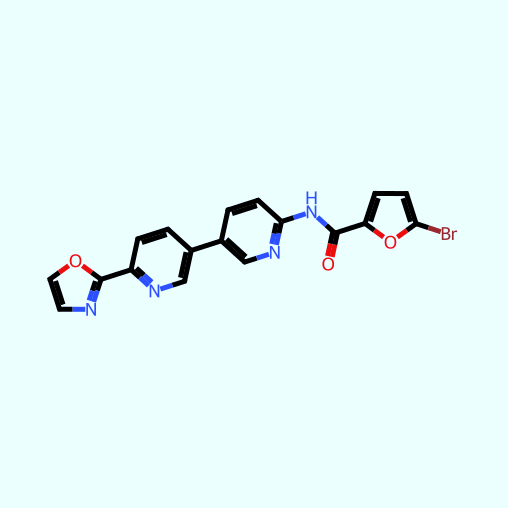 O=C(Nc1ccc(-c2ccc(-c3ncco3)nc2)cn1)c1ccc(Br)o1